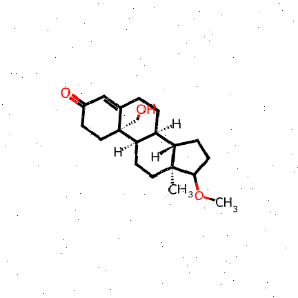 COC1CC[C@H]2[C@@H]3CCC4=CC(=O)CC[C@]4(CO)[C@@H]3CC[C@]12C